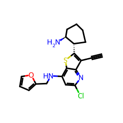 C#Cc1c([C@H]2CCCC[C@@H]2N)sc2c(NCc3ccco3)cc(Cl)nc12